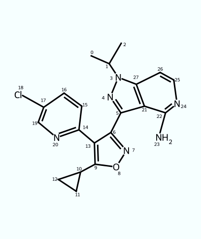 CC(C)n1nc(-c2noc(C3CC3)c2-c2ccc(Cl)cn2)c2c(N)nccc21